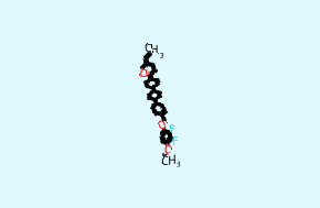 CCCC1CCC(C2CCC(C3CCC(C4CCC(COc5ccc(OCC)c(F)c5F)CC4)CC3)CC2)OC1